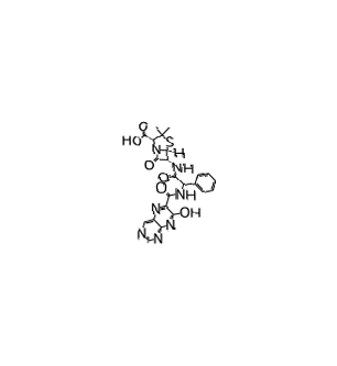 CC1(C)S[C@@H]2[C@H](NC(=O)C(NC(=O)c3nc4cncnc4nc3O)c3ccccc3)C(=O)N2[C@H]1C(=O)O